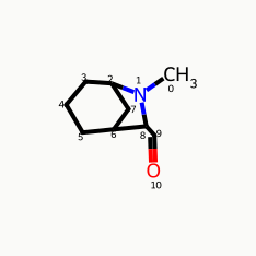 CN1C2CCCC(C2)C1C=O